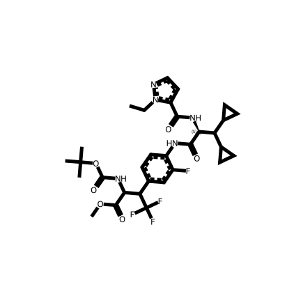 CCn1nccc1C(=O)N[C@H](C(=O)Nc1ccc(C(C(NC(=O)OC(C)(C)C)C(=O)OC)C(F)(F)F)cc1F)C(C1CC1)C1CC1